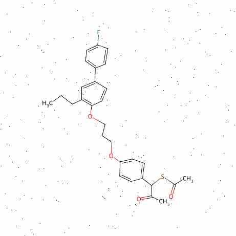 CCCc1cc(-c2ccc(F)cc2)ccc1OCCCOc1ccc(C(SC(C)=O)C(C)=O)cc1